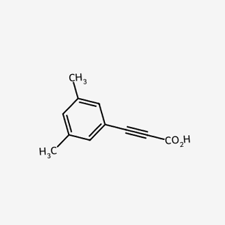 Cc1cc(C)cc(C#CC(=O)O)c1